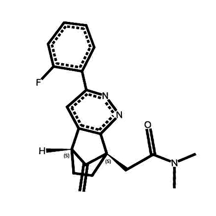 C=C1[C@@H]2CC[C@@]1(CC(=O)N(C)C)c1nnc(-c3ccccc3F)cc12